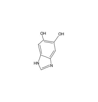 Oc1cc2nc[nH]c2cc1O